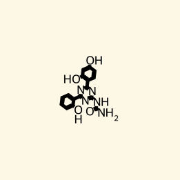 NC(=O)Nc1nc(-c2ccccc2O)nc(-c2ccc(O)cc2O)n1